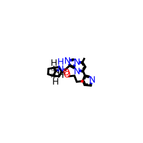 CCCCO[C@H]1C[C@H]2CC[C@@H](C1)[C@H]2NC(=O)c1ncn2c(C)cc(-c3cccnc3)nc12